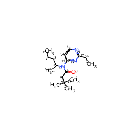 CCCC(C)N(C(=O)CC(C)(C)C)c1ccnc(CC)n1